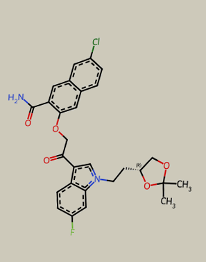 CC1(C)OC[C@@H](CCn2cc(C(=O)COc3cc4ccc(Cl)cc4cc3C(N)=O)c3ccc(F)cc32)O1